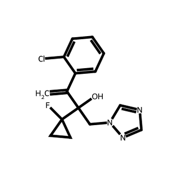 C=C(c1ccccc1Cl)C(O)(Cn1cncn1)C1(F)CC1